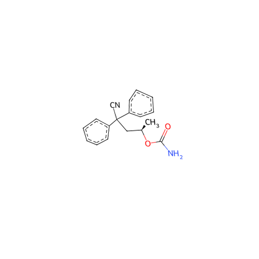 C[C@H](CC(C#N)(c1ccccc1)c1ccccc1)OC(N)=O